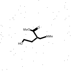 CNCC(CCO)C(=O)OC